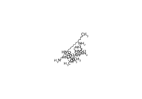 CCCCCCCCCCCCCC(=O)N[C@@H](CCCCN)C(=O)N[C@@H](CC(C)C)C(=O)N[C@@H](C)C(=O)N[C@@H](CCCCN)C(=O)N[C@@H](CCCCN)C(N)=O